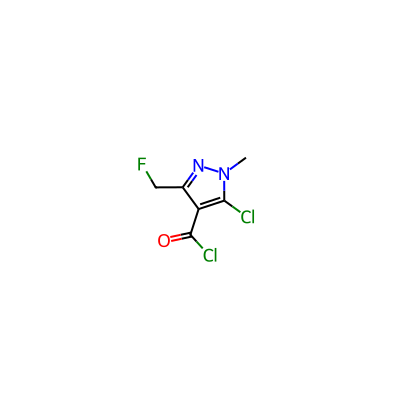 Cn1nc(CF)c(C(=O)Cl)c1Cl